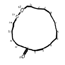 O=C1CCCCCCCCCCOOCCCC1